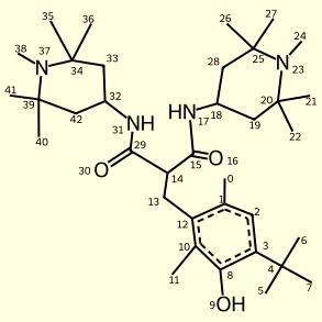 Cc1cc(C(C)(C)C)c(O)c(C)c1CC(C(=O)NC1CC(C)(C)N(C)C(C)(C)C1)C(=O)NC1CC(C)(C)N(C)C(C)(C)C1